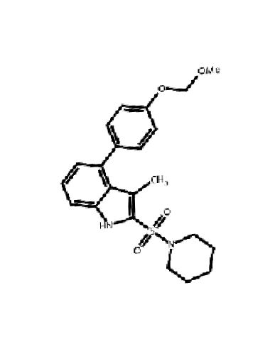 COCOc1ccc(-c2cccc3[nH]c(S(=O)(=O)N4CCCCC4)c(C)c23)cc1